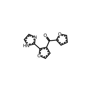 O=C(c1ccco1)c1ccoc1-c1ncc[nH]1